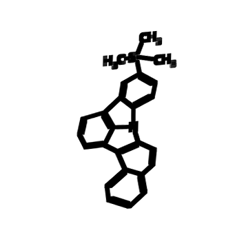 C[Si](C)(C)c1ccc2c(c1)c1cccc3c4c5ccccc5ccc4n2c13